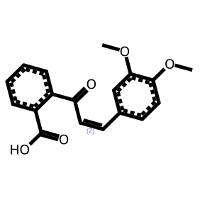 COc1ccc(/C=C\C(=O)c2ccccc2C(=O)O)cc1OC